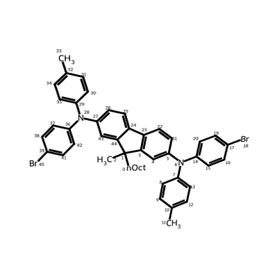 CCCCCCCCC1(C)c2cc(N(c3ccc(C)cc3)c3ccc(Br)cc3)ccc2-c2ccc(N(c3ccc(C)cc3)c3ccc(Br)cc3)cc21